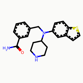 NC(=O)c1cccc(CN(c2ccc3sccc3c2)C2CCNCC2)c1